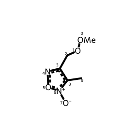 COOCc1no[n+]([O-])c1C